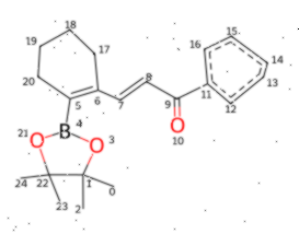 CC1(C)OB(C2=C(/C=C/C(=O)c3ccccc3)CCCC2)OC1(C)C